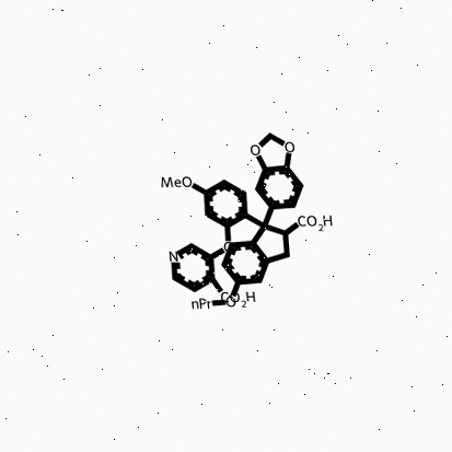 CCCOc1ccc2c(c1)CC(C(=O)O)C2(c1ccc2c(c1)OCO2)c1ccc(OC)cc1Oc1cnccc1C(=O)O